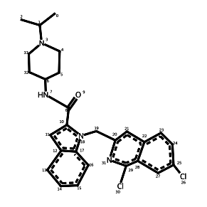 CC(C)N1CCC(NC(=O)c2cc3ccccc3n2Cc2cc3ccc(Cl)cc3c(Cl)n2)CC1